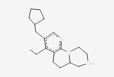 CCc1c(CC2CCCC2)cnc2c1CCC1CNCCN21